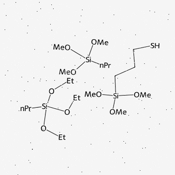 CCC[Si](OC)(OC)OC.CCC[Si](OCC)(OCC)OCC.CO[Si](CCCS)(OC)OC